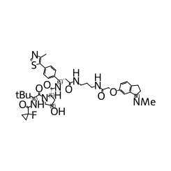 CN[C@@H]1CCc2ccc(OCC(=O)NCCCNC(=O)C[C@H](NC(=O)[C@@H]3C[C@@H](O)CN3C(=O)[C@@H](NC(=O)C3(F)CC3)C(C)(C)C)c3ccc(-c4scnc4C)cc3)cc21